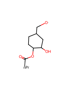 CCCC(=O)OC1CCC(C[O])CC1O